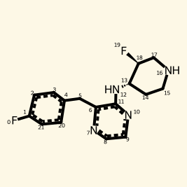 Fc1ccc(Cc2nccnc2N[C@H]2CCNC[C@@H]2F)cc1